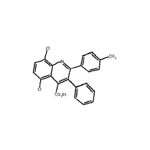 CCOC(=O)c1c(-c2ccccc2)c(-c2ccc(C)cc2)nc2c(Cl)ccc(Cl)c12